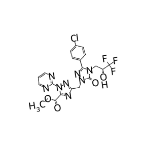 COC(=O)c1nc(Cn2nc(-c3ccc(Cl)cc3)n(C[C@H](O)C(F)(F)F)c2=O)nn1-c1ncccn1